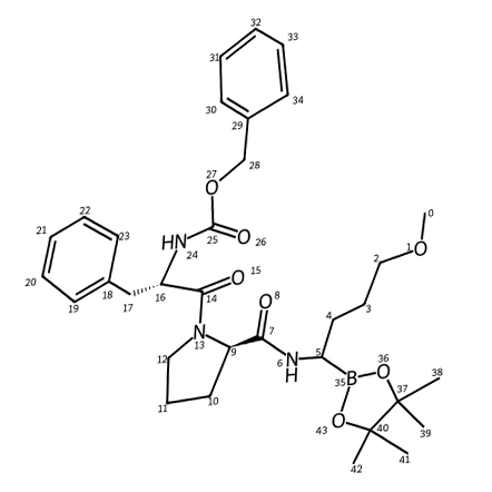 COCCCC(NC(=O)[C@H]1CCCN1C(=O)[C@H](Cc1ccccc1)NC(=O)OCc1ccccc1)B1OC(C)(C)C(C)(C)O1